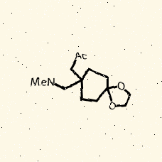 CNCC1(CC(C)=O)CCC2(CC1)OCCO2